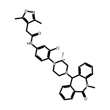 Cc1noc(C)c1CC(=O)Nc1ccc(N2CCN(C3c4ccccc4C(=O)N(C)c4ccccc43)C[C@H]2C)c(Cl)c1